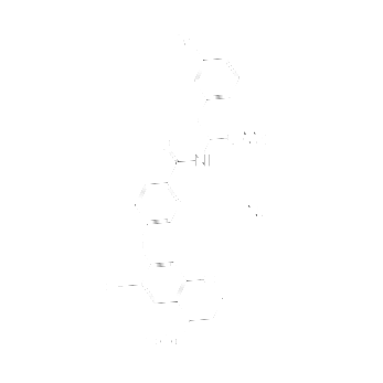 COC(Cc1cccc(Br)c1)NC(=O)c1ccc(Oc2cc3c(cc2Cl)C(C(=O)[O-])CCO3)cc1.[Na+]